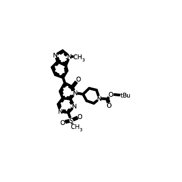 Cn1cnc2ccc(-c3cc4cnc(S(C)(=O)=O)nc4n(C4CCN(C(=O)OC(C)(C)C)CC4)c3=O)cc21